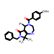 COc1ccc(C(=O)N2CCNC3=C(C(=O)N(Cc4ccccc4)C3(C)C)C2C(C)C)cc1